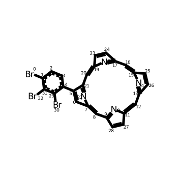 Brc1ccc(C2=CC3=CC4=NC(=CC5=NC(=CC6=NC(=CC2=N3)C=C6)C=C5)C=C4)c(Br)c1Br